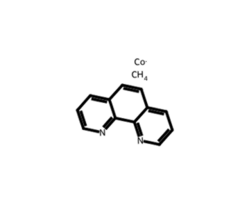 C.[Co].c1cnc2c(c1)ccc1cccnc12